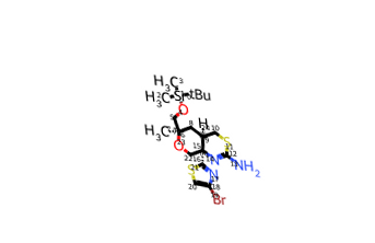 CC(C)(C)[Si](C)(C)OC[C@@]1(C)C[C@H]2CSC(N)=N[C@@]2(c2nc(Br)cs2)CO1